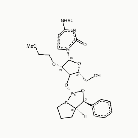 COCCO[C@H]1C(O[P@]2O[C@@H](c3ccccc3)[C@H]3CCCN32)[C@@H](CO)O[C@H]1n1ccc(NC(C)=O)nc1=O